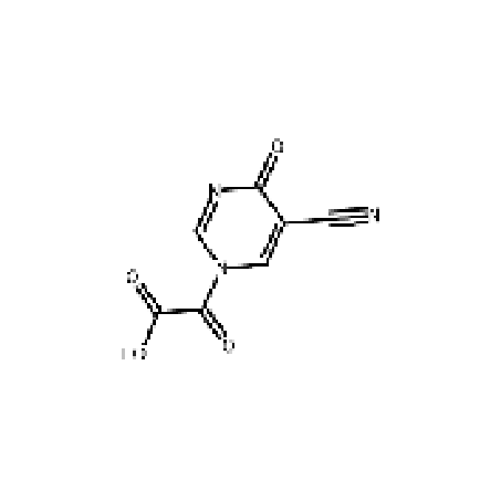 N#Cc1cn(C(=O)C(=O)O)cnc1=O